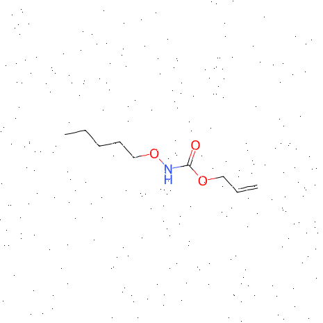 C=CCOC(=O)NOCCCCC